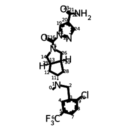 CN(Cc1cc(C(F)(F)F)ccc1Cl)[C@@H]1C[C@@H]2CN(C(=O)n3cc(C(N)=O)cn3)C[C@@H]2C1